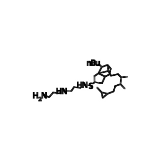 CCCCC1C2CCC3CC(SNCCCNCCCN)CC31C2CCC(C)C(C)CCC1CC1C